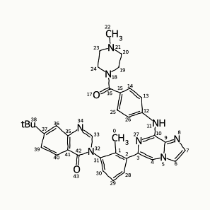 Cc1c(-c2cn3ccnc3c(Nc3ccc(C(=O)N4CCN(C)CC4)cc3)n2)cccc1-n1cnc2cc(C(C)(C)C)ccc2c1=O